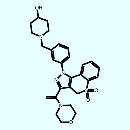 C=C(c1nn(-c2cccc(CN3CCC(O)CC3)c2)c2c1CS(=O)(=O)c1ccccc1-2)N1CCOCC1